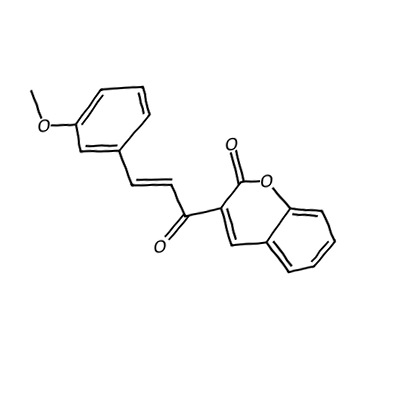 COc1cccc(C=CC(=O)c2cc3ccccc3oc2=O)c1